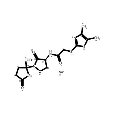 Cc1nc(SCC(=O)N[C@H]2CON(C3(C(=O)[O-])CCC(=O)O3)C2=O)sc1C.[Na+]